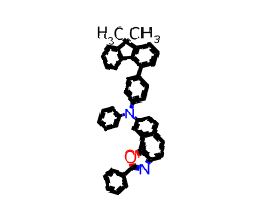 CC1(C)c2ccccc2-c2c(-c3ccc(N(c4ccccc4)c4ccc5ccc6nc(-c7ccccc7)oc6c5c4)cc3)cccc21